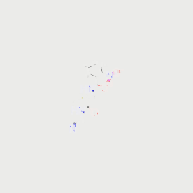 CSC(CNC(=O)c1ccccc1[N+](=O)[O-])C(=O)NCC#N